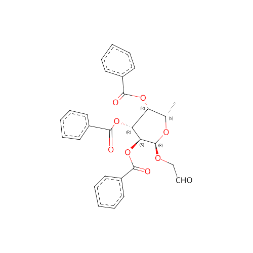 C[C@@H]1O[C@@H](OCC=O)[C@@H](OC(=O)c2ccccc2)[C@H](OC(=O)c2ccccc2)[C@@H]1OC(=O)c1ccccc1